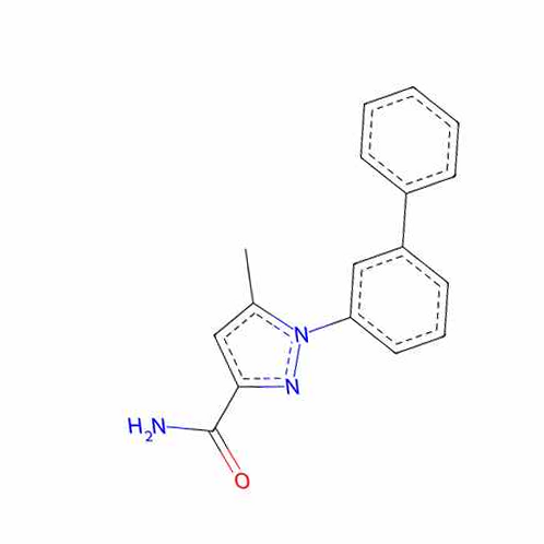 Cc1cc(C(N)=O)nn1-c1cccc(-c2ccccc2)c1